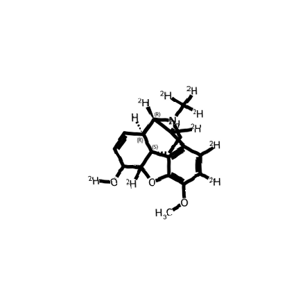 [2H]OC1C=C[C@@H]2[C@@]34CCN(C([2H])([2H])[2H])[C@]2([2H])C([2H])([2H])c2c([2H])c([2H])c(OC)c(c23)OC14[2H]